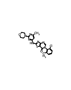 Cc1cc(Nc2nc3ncn(-c4c(C)cccc4Cl)c(=O)c3s2)nc(N2CCOCC2)n1